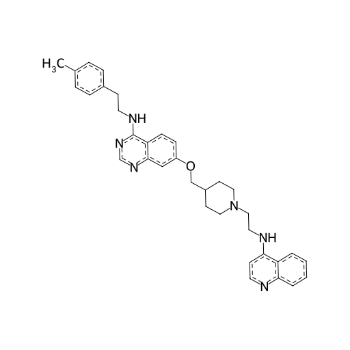 Cc1ccc(CCNc2ncnc3cc(OCC4CCN(CCNc5ccnc6ccccc56)CC4)ccc23)cc1